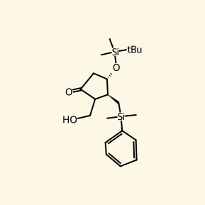 CC(C)(C)[Si](C)(C)O[C@H]1CC(=O)C(CO)[C@@H]1C[Si](C)(C)c1ccccc1